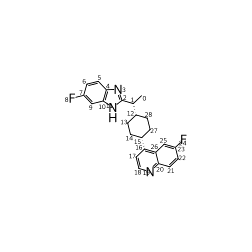 CC(c1nc2ccc(F)cc2[nH]1)[C@H]1CC[C@@H](c2ccnc3ccc(F)cc32)CC1